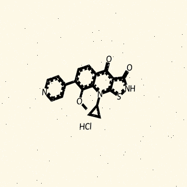 COc1c(-c2ccncc2)ccc2c(=O)c3c(=O)[nH]sc3n(C3CC3)c12.Cl